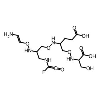 N/C=C/ONC(CNC(F)=C=O)CONC(CCC(=O)O)CONC(CO)C(=O)O